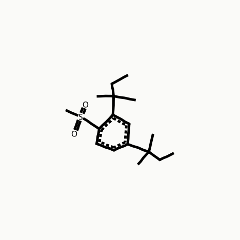 CCC(C)(C)c1ccc(S(C)(=O)=O)c(C(C)(C)CC)c1